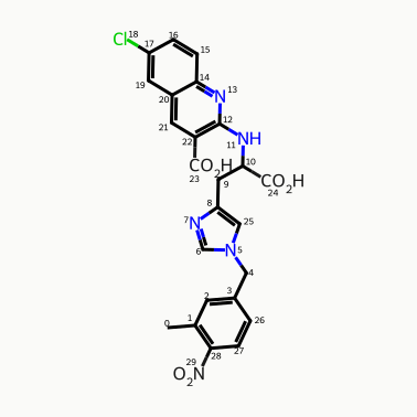 Cc1cc(Cn2cnc(CC(Nc3nc4ccc(Cl)cc4cc3C(=O)O)C(=O)O)c2)ccc1[N+](=O)[O-]